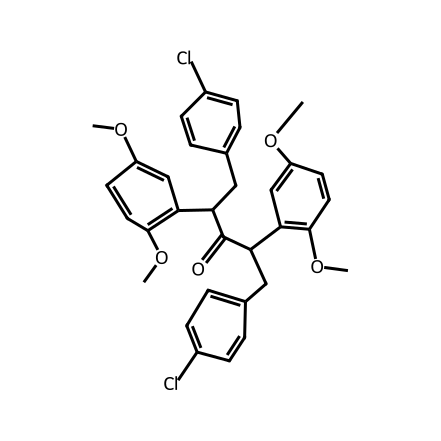 COc1ccc(OC)c(C(Cc2ccc(Cl)cc2)C(=O)C(Cc2ccc(Cl)cc2)c2cc(OC)ccc2OC)c1